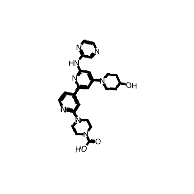 O=C(O)N1CCN(c2cc(-c3cc(N4CCC(O)CC4)cc(Nc4cnccn4)n3)ccn2)CC1